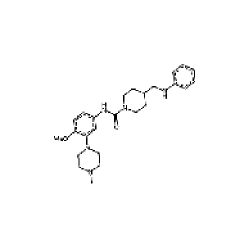 COc1ccc(NC(=O)N2CCC(CNc3ccccc3)CC2)cc1N1CCN(C)CC1